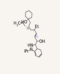 C=CC[C@@H](CC(/C=C/C(O)C1NN(C(C)C)C2=CC=CCC21)CC)CC1(O)CCCCC1